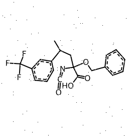 CC(CC(N=C=O)(OCc1ccccc1)C(=O)O)c1cccc(C(F)(F)F)c1